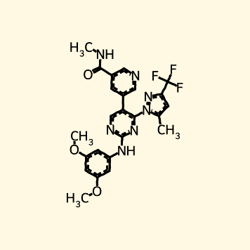 CNC(=O)c1cncc(-c2cnc(Nc3cc(OC)cc(OC)c3)nc2-n2nc(C(F)(F)F)cc2C)c1